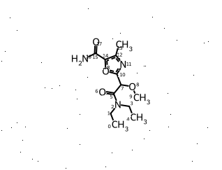 CCN(CC)C(=O)C(OC)c1nc(C)c(C(N)=O)o1